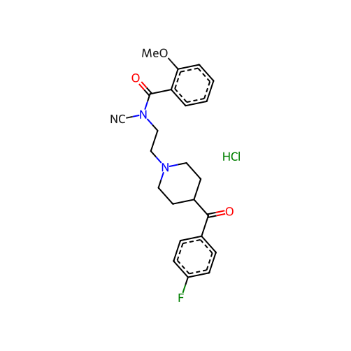 COc1ccccc1C(=O)N(C#N)CCN1CCC(C(=O)c2ccc(F)cc2)CC1.Cl